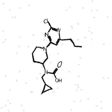 CCCc1cc(N2CCCC(N(CC3CC3)C(=O)O)C2)nc(Cl)n1